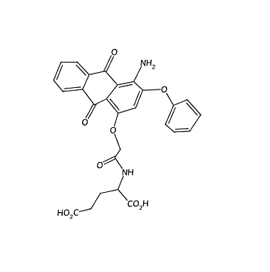 Nc1c(Oc2ccccc2)cc(OCC(=O)NC(CCC(=O)O)C(=O)O)c2c1C(=O)c1ccccc1C2=O